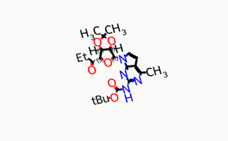 CCC(=O)[C@H]1O[C@@H](n2ccc3c(C)nc(NC(=O)OC(C)(C)C)nc32)[C@@H]2OC(C)(C)O[C@@H]21